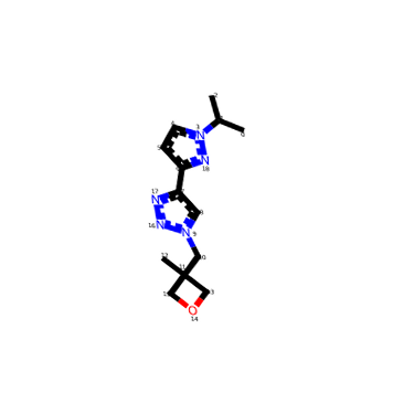 CC(C)n1ccc(-c2cn(CC3(C)COC3)nn2)n1